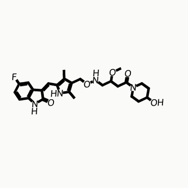 COC(CNOCc1c(C)[nH]c(/C=C2\C(=O)Nc3ccc(F)cc32)c1C)CC(=O)N1CCC(O)CC1